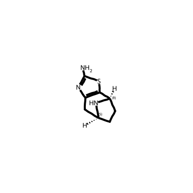 Nc1nc2c(s1)[C@H]1CC[C@@H](C2)N1